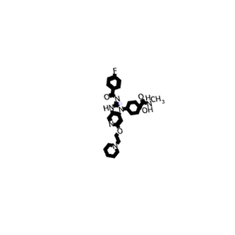 CNC(=O)C1(O)CCC(n2/c(=N/C(=O)c3ccc(F)cc3)[nH]c3cnc(OCCN4CCCCC4)cc32)CC1